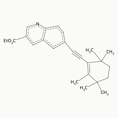 CCOC(=O)c1cnc2ccc(C#CC3=C(C)C(C)(C)CCC3(C)C)cc2c1